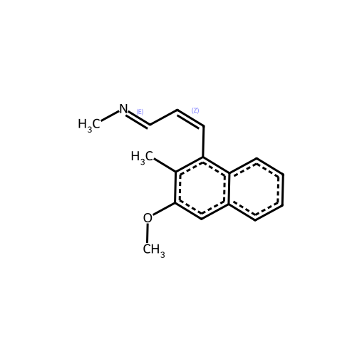 C/N=C/C=C\c1c(C)c(OC)cc2ccccc12